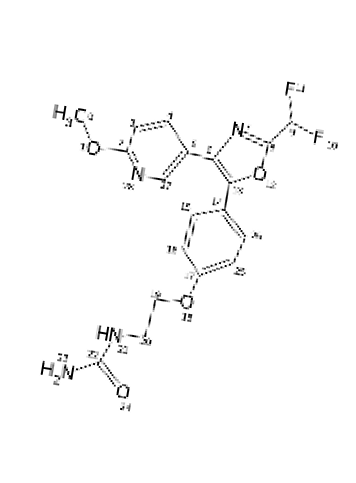 COc1ccc(-c2nc(C(F)F)oc2-c2ccc(OCCNC(N)=O)cc2)cn1